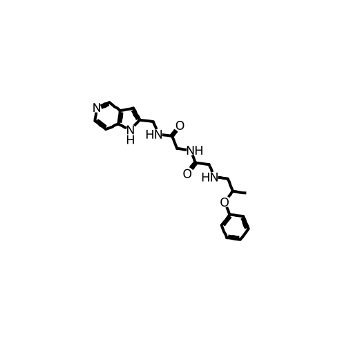 CC(CNCC(=O)NCC(=O)NCc1cc2cnccc2[nH]1)Oc1ccccc1